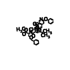 COC(=O)C(COCc1ccccc1)N(C)C(=O)CC[C@H](NCc1cc(Oc2ccccc2)ncc1[N+](=O)[O-])C(C)C